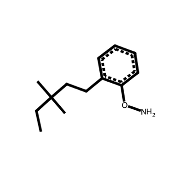 CCC(C)(C)CCc1ccccc1ON